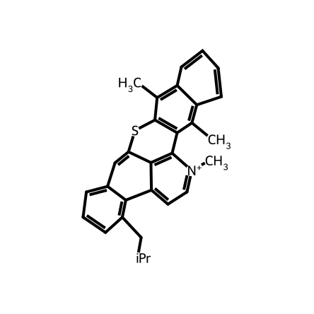 Cc1c2c(c(C)c3ccccc13)-c1c3c(cc4cccc(CC(C)C)c4c3cc[n+]1C)S2